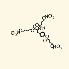 O=C(CCCO[N+](=O)[O-])NC(Cc1ccc(OC(=O)CCCO[N+](=O)[O-])cc1)C(=O)OCCCCO[N+](=O)[O-]